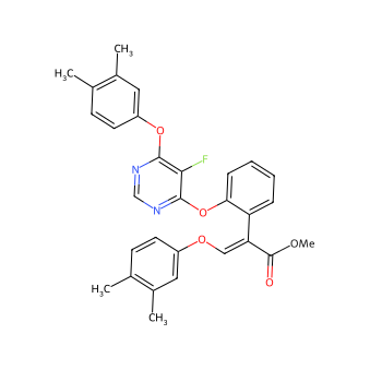 COC(=O)C(=COc1ccc(C)c(C)c1)c1ccccc1Oc1ncnc(Oc2ccc(C)c(C)c2)c1F